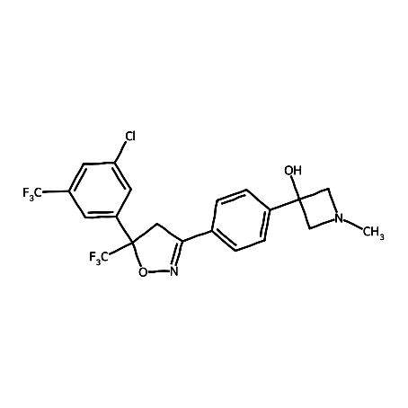 CN1CC(O)(c2ccc(C3=NOC(c4cc(Cl)cc(C(F)(F)F)c4)(C(F)(F)F)C3)cc2)C1